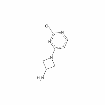 NC1CN(c2ccnc(Cl)n2)C1